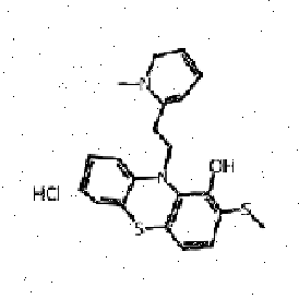 CSc1ccc2c(c1O)N(CCC1=CC=CCN1C)c1ccccc1S2.Cl